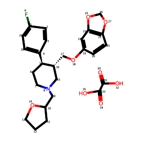 Fc1ccc([C@@H]2CCN(CC3CCCO3)C[C@H]2COc2ccc3c(c2)OCO3)cc1.O=C(O)C(=O)O